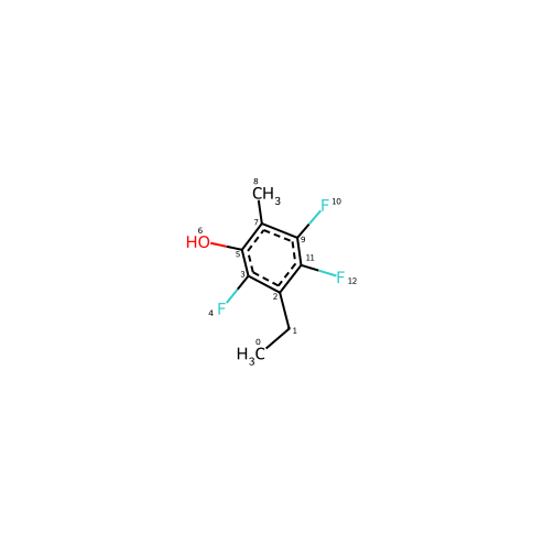 CCc1c(F)c(O)c(C)c(F)c1F